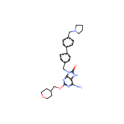 Nc1nc(OCC2CCOCC2)nc2c1[nH]c(=O)n2Cc1ccc(-c2ccc(CN3CCCC3)cc2)cc1